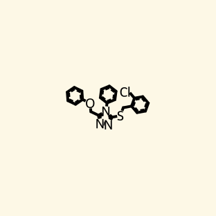 Clc1ccccc1CSc1nnc(COc2ccccc2)n1-c1ccccc1